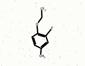 Cc1ccc(OCC(F)(F)F)c(F)c1